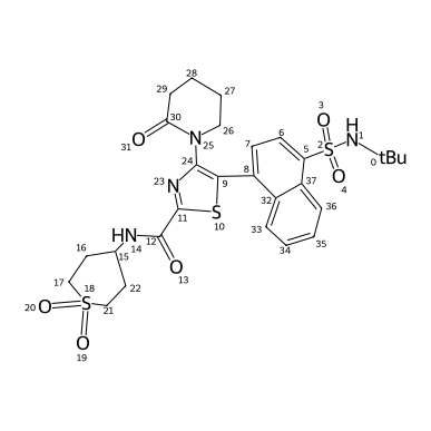 CC(C)(C)NS(=O)(=O)c1ccc(-c2sc(C(=O)NC3CCS(=O)(=O)CC3)nc2N2CCCCC2=O)c2ccccc12